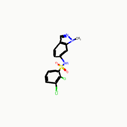 Cn1ncc2ccc(NS(=O)(=O)c3cccc(Cl)c3Cl)cc21